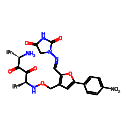 CC(C)[C@H](N)C(=O)C(=O)[C@@H](NOCc1cc(-c2ccc([N+](=O)[O-])cc2)oc1/C=N/N1CC(=O)NC1=O)C(C)C